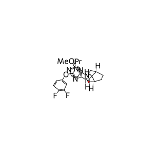 COc1cc(N2C[C@H]3CC[C@@H](C2)[C@@H]3Nc2nc(Oc3ccc(F)c(F)c3)n(C(C)C)n2)ccn1